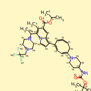 Cc1c(C(=O)OC(C)C)cc2c(/C3=C/C=C(/N4CCC(NC(=O)OC(C)(C)C)CC4)CC=C=C3)ccn2c1C(C)N1CCN(CC(F)(F)F)CC1